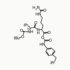 CC(C)Cc1ccc(NC(=O)OC(=O)C(CCCNC(N)=O)NC(=O)[C@@H](NC(=O)OC(C)(C)C)C(C)C)cc1